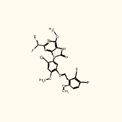 COc1cc(Cl)c(-n2c(=O)[nH]c3c(OC)nc(C(F)F)nc32)cc1OCc1c(OC)ccc(F)c1F